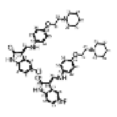 O=C1Nc2ccc(Cl)cc2/C1=C\Nc1ccc(OCCN2CCCCC2)cc1.O=C1Nc2ccc(F)cc2/C1=C\Nc1ccc(OCCN2CCCCC2)cc1